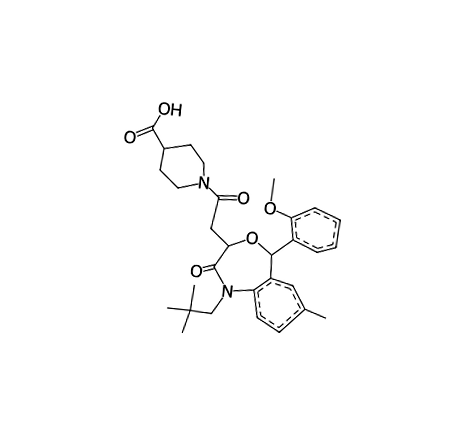 COc1ccccc1C1OC(CC(=O)N2CCC(C(=O)O)CC2)C(=O)N(CC(C)(C)C)c2ccc(C)cc21